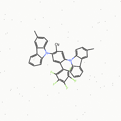 Cc1ccc2c(c1)c1ccccc1n2-c1cc(-c2c(F)c(F)c(F)c(F)c2F)c(-n2c3ccccc3c3cc(C)ccc32)cc1C#N